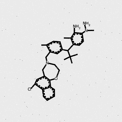 Cc1ccc(C(c2ccc(N(C)N)c(N)c2C)C(C)(C)C)cc1CN1CCOc2c(cc(Cl)c3ccccc23)C1